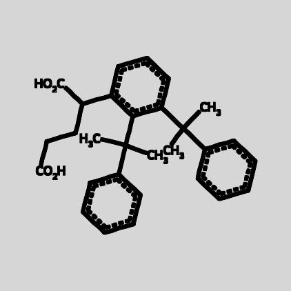 CC(C)(c1ccccc1)c1cccc(C(CCC(=O)O)C(=O)O)c1C(C)(C)c1ccccc1